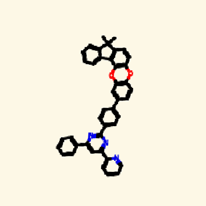 CC1(C)c2ccccc2-c2c1ccc1c2Oc2cc(-c3ccc(-c4nc(-c5ccccc5)cc(-c5ccccn5)n4)cc3)ccc2O1